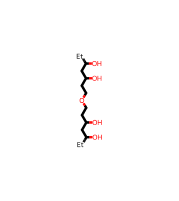 CCC(O)CC(O)CCOCCC(O)CC(O)CC